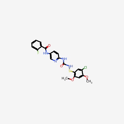 COc1cc(OC)c(SNC(=O)Nc2ccc(NC(=O)c3ccccc3F)cn2)cc1Cl